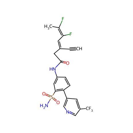 C#C/C(=C\C(F)=C(/C)F)CC(=O)Nc1ccc(-c2cncc(C(F)(F)F)c2)c(S(N)(=O)=O)c1